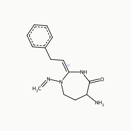 C=NN1CCC(N)C(=O)N/C1=C/Cc1ccccc1